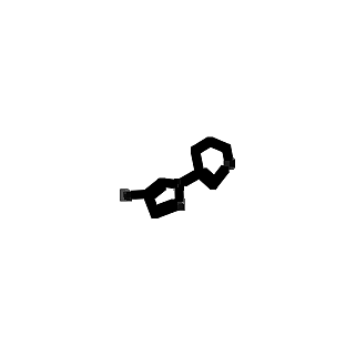 Brc1cnn(C2=COCCC2)c1